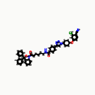 N#Cc1ccc(OC2CCC(n3cc(-c4ccc(C(=O)NCCCCCC(=O)NOC(c5ccccc5)(c5ccccc5)c5ccccc5)cc4)nn3)CC2)cc1Cl